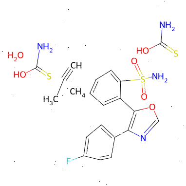 C.C#CC.NC(O)=S.NC(O)=S.NS(=O)(=O)c1ccccc1-c1ocnc1-c1ccc(F)cc1.O